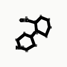 O=[C]C1CCCCN1C1CCNCC1